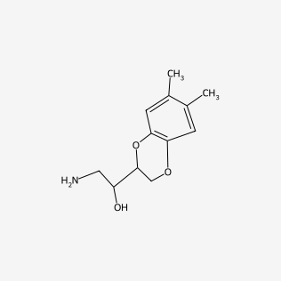 Cc1cc2c(cc1C)OC(C(O)CN)CO2